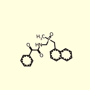 CP(=O)(CNC(=O)C(=O)c1ccccc1)Cc1cccc2ccccc12